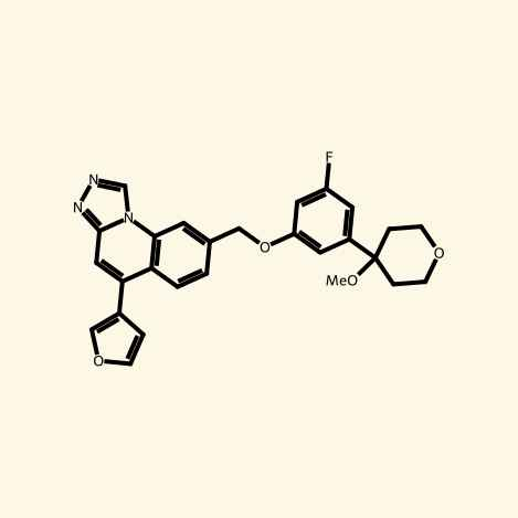 COC1(c2cc(F)cc(OCc3ccc4c(-c5ccoc5)cc5nncn5c4c3)c2)CCOCC1